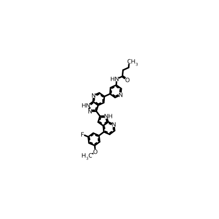 CCCC(=O)Nc1cncc(-c2cnc3[nH]nc(-c4cc5c(-c6cc(F)cc(OC)c6)ccnc5[nH]4)c3c2)c1